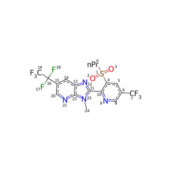 CCCS(=O)(=O)c1cc(C(F)(F)F)cnc1-c1nc2cc(C(F)(F)C(F)(F)F)cnc2n1C